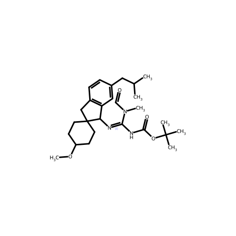 COC1CCC2(CC1)Cc1ccc(CC(C)C)cc1C2/N=C(/NC(=O)OC(C)(C)C)N(C)C=O